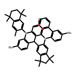 Cc1cc2c(cc1N1c3cc(C(C)(C)C)ccc3C3c4cc5c(cc4N(c4ccc(C(C)(C)C)cc4-c4ccccc4)c4cc(C(C)(C)C)cc1c43)C(C)(C)CC5(C)C)C(C)(C)CCC2(C)C